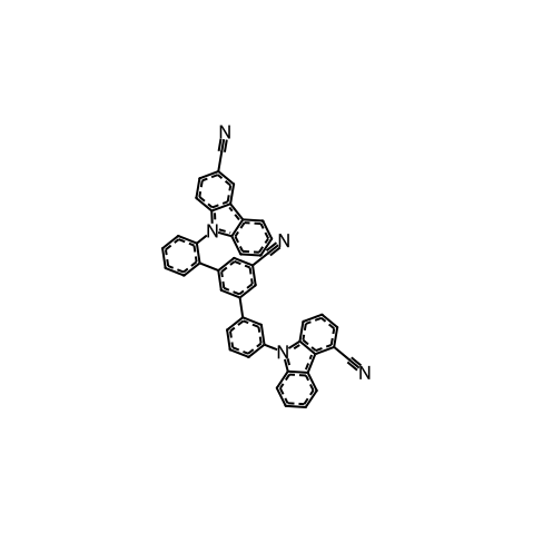 N#Cc1cc(-c2cccc(-n3c4ccccc4c4c(C#N)cccc43)c2)cc(-c2ccccc2-n2c3ccccc3c3cc(C#N)ccc32)c1